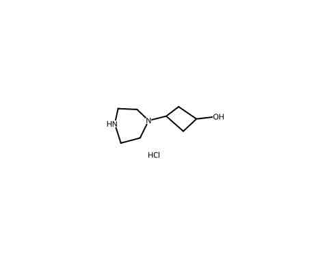 Cl.OC1CC(N2CCNCC2)C1